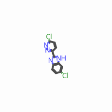 Clc1ccc2nc(-c3ccc(Cl)nn3)[nH]c2c1